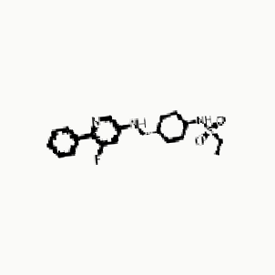 CCS(=O)(=O)N[C@H]1CC[C@H](CNc2cnc(-c3ccccc3)c(F)c2)CC1